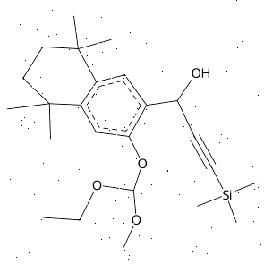 CCOC(OC)Oc1cc2c(cc1C(O)C#C[Si](C)(C)C)C(C)(C)CCC2(C)C